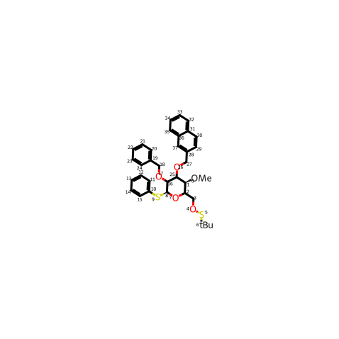 CO[C@H]1C(COSC(C)(C)C)O[C@@H](Sc2ccccc2)C(OCc2ccccc2)C1OCc1ccc2ccccc2c1